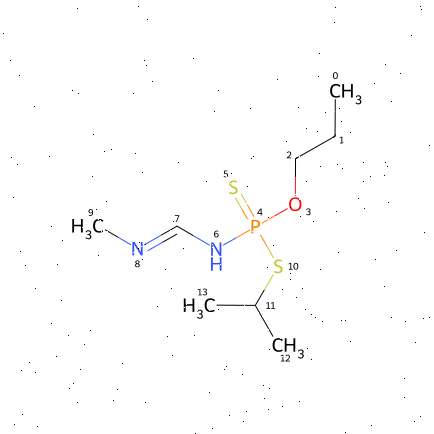 CCCOP(=S)(NC=NC)SC(C)C